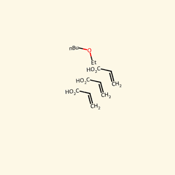 C=CC(=O)O.C=CC(=O)O.C=CC(=O)O.CCCCOCC